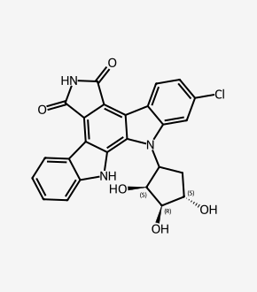 O=C1NC(=O)c2c1c1c3ccccc3[nH]c1c1c2c2ccc(Cl)cc2n1C1C[C@H](O)[C@@H](O)[C@H]1O